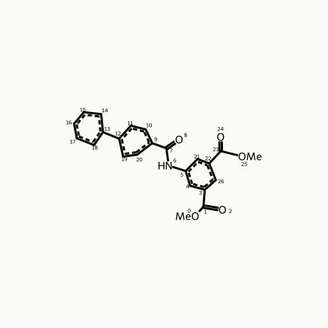 COC(=O)c1cc(NC(=O)c2ccc(-c3ccccc3)cc2)cc(C(=O)OC)c1